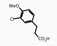 COc1ccc(CCC(=O)O)cc1Cl